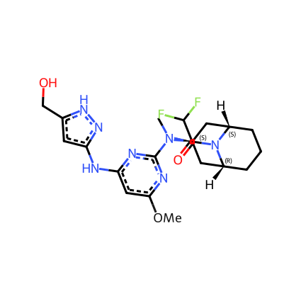 COc1cc(Nc2cc(CO)[nH]n2)nc(N(C)[C@@H]2C[C@H]3CCC[C@@H](C2)N3C(=O)C(F)F)n1